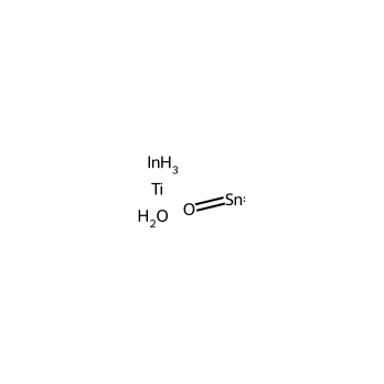 O.[InH3].[O]=[Sn].[Ti]